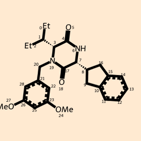 CCC(CC)[C@@H]1C(=O)N[C@H](C2Cc3ccccc3C2)C(=O)N1Cc1cc(OC)cc(OC)c1